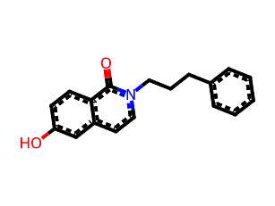 O=c1c2ccc(O)cc2ccn1CCCc1ccccc1